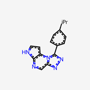 CC(C)c1ccc(-c2nnc3cnc4[nH]ccc4n23)cc1